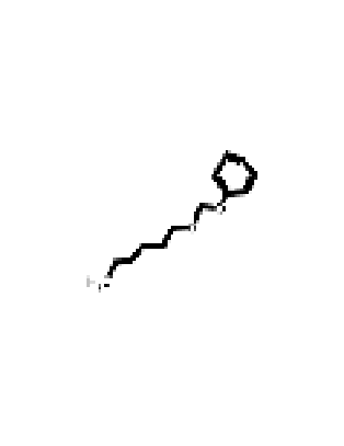 CCCCCCOCOc1cc[c]cc1